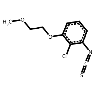 COCCOc1cccc(N=C=S)c1Cl